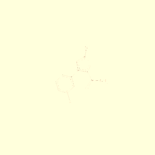 CC(=O)c1cccc(-c2cc([N+](=O)[O-])oc2C(N)=O)c1